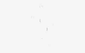 C/C(=C/CCC(C)(OCC(F)(F)F)OCC(F)(F)F)CC/C=C(/C)CCCC(C)C